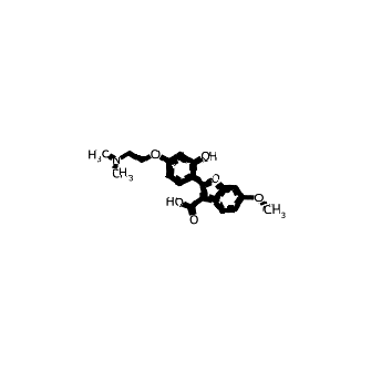 COc1ccc2c(C(=O)O)c(-c3ccc(OCCN(C)C)cc3O)oc2c1